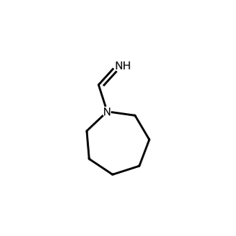 N=CN1CCCCCC1